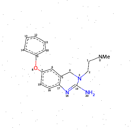 CNCCN1Cc2cc(Oc3ccccc3)ccc2N=C1N